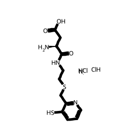 Cl.Cl.N[C@@H](CC(=O)O)C(=O)NCCSCc1ncccc1S.[N]